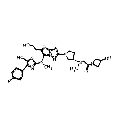 CN(c1nc(-c2ccc(F)cc2)c(C#N)s1)c1c(CCO)nc2sc(N3CC[C@@H](N(C)CC(=O)N4CC(O)C4)C3)nn12